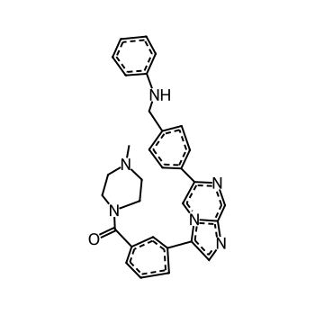 CN1CCN(C(=O)c2cccc(-c3cnc4cnc(-c5ccc(CNc6ccccc6)cc5)cn34)c2)CC1